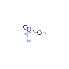 CNCCNc1nc(/C=C/c2ccc(Cl)cc2)nc2ccc(C)cc12